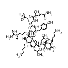 CC(C)C[C@H](NC(=O)[C@H](CC(C)C)NC(=O)[C@H](CCCCN)NC(=O)[C@H](CCCNC(=N)N)NC(=O)[C@H](Cc1ccc(O)cc1)NC(=O)[C@H](CCC(N)=O)NC(=O)[C@@H](C)CCC(N)=O)C(=O)N[C@@H](CCCCN)C(N)=O